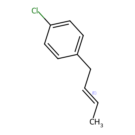 C/C=C/Cc1ccc(Cl)cc1